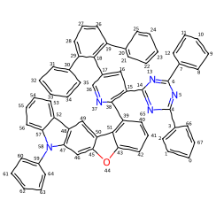 c1ccc(-c2nc(-c3ccccc3)nc(-c3cc(-c4c(-c5ccccc5)cccc4-c4ccccc4)cnc3-c3cccc4oc5cc6c(cc5c34)c3ccccc3n6-c3ccccc3)n2)cc1